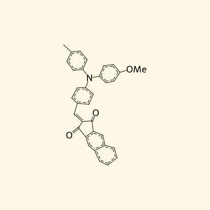 COc1ccc(N(c2ccc(C)cc2)c2ccc(C=C3C(=O)c4cc5ccccc5cc4C3=O)cc2)cc1